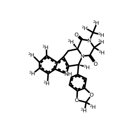 [2H]c1c([2H])c([2H])c2c3c([nH]c2c1[2H])[C@@]([2H])(c1ccc2c(c1)OC([2H])([2H])O2)N1C(=O)C([2H])([2H])N(C([2H])([2H])[2H])C(=O)[C@@]1([2H])C3